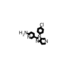 Nc1ccc(-c2nc3ccncc3n2-c2ccc(Cl)cc2)cn1